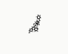 O=C(O[C@H]1C[N+]2(Cc3ccccc3)CCC1CC2)N(Cc1ccc(F)cc1)c1ccccc1